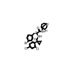 O=C(N[C@@H]1CN2CCC1CC2)[C@H](Cc1ccc(Br)cc1)NC(=O)C1(c2ccc(Cl)cc2Cl)CC1